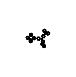 c1ccc([Si](c2ccccc2)(c2ccccc2)c2ccc(-c3ccc(N(c4ccc(-n5c6ccccc6c6ccccc65)cc4)c4ccc5c(c4)oc4ccccc45)cc3)cc2)cc1